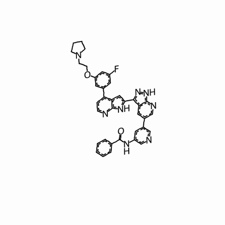 O=C(Nc1cncc(-c2cnc3[nH]nc(-c4cc5c(-c6cc(F)cc(OCCN7CCCC7)c6)ccnc5[nH]4)c3c2)c1)c1ccccc1